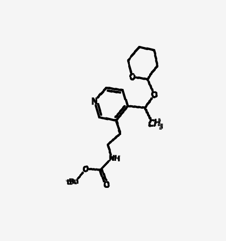 CC(OC1CCCCO1)c1ccncc1CCNC(=O)OC(C)(C)C